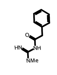 CNC(=N)NC(=O)Cc1ccccc1